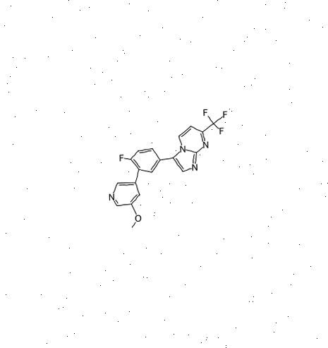 COc1cncc(-c2cc(-c3cnc4nc(C(F)(F)F)ccn34)ccc2F)c1